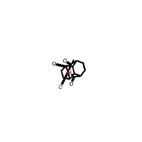 O=C1OC(=O)C2CCC1C1C3CCC(C(=O)OC3=O)C21